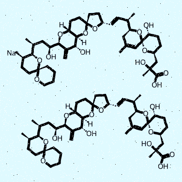 C=C1[C@@H](O)[C@@H]2O[C@]3(CC[C@H](/C=C/[C@@H](C)[C@@H]4CC(C)=C[C@@]5(O[C@H](C[C@@](C)(O)C(=O)O)CC[C@H]5O)O4)O3)CC[C@H]2O[C@@H]1[C@@H](O)C[C@H](C)[C@H]1O[C@@]2(CCCCO2)CC[C@H]1C.C=C1[C@@H](O)[C@@H]2O[C@]3(CC[C@H](/C=C/[C@@H](C)[C@@H]4CC(C)=C[C@@]5(O[C@H](C[C@@](C)(O)C(=O)O)CC[C@H]5O)O4)O3)CC[C@H]2O[C@@H]1[C@@H](O)C[C@H](C)[C@H]1O[C@@]2(CCCCO2)CC[C@H]1C.[Na+]